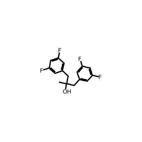 CC(O)(Cc1cc(F)cc(F)c1)Cc1cc(F)cc(F)c1